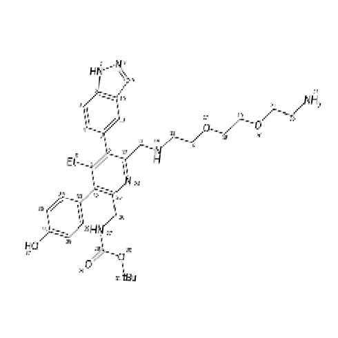 CCc1c(-c2ccc3[nH]ncc3c2)c(CNCCOCCOCCN)nc(CNC(=O)OC(C)(C)C)c1-c1ccc(O)cc1